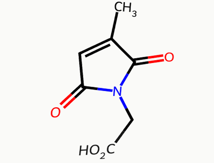 CC1=CC(=O)N(CC(=O)O)C1=O